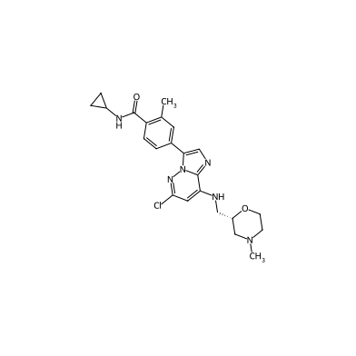 Cc1cc(-c2cnc3c(NC[C@H]4CN(C)CCO4)cc(Cl)nn23)ccc1C(=O)NC1CC1